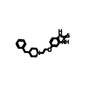 S=c1[nH]c2ccc(OCCN3CCC(Cc4ccccc4)CC3)cc2[nH]1